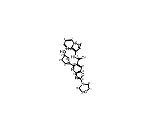 O=C(Nc1cnn2cccnc12)c1cc2oc(N3CCOCC3)nc2nc1N1CC[C@@H](O)C1